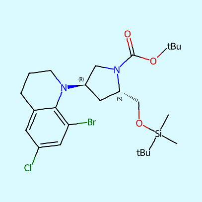 CC(C)(C)OC(=O)N1C[C@H](N2CCCc3cc(Cl)cc(Br)c32)C[C@H]1CO[Si](C)(C)C(C)(C)C